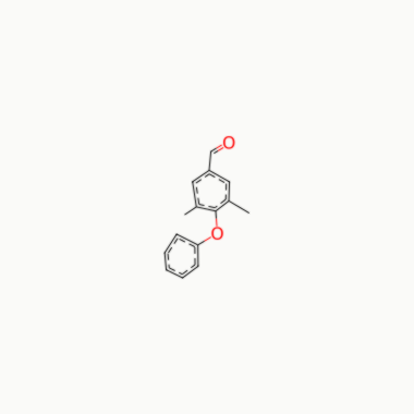 Cc1cc(C=O)cc(C)c1Oc1ccccc1